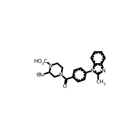 Cc1nc2ccccc2n1-c1ccc(C(=O)N2CCN(C(=O)O)C(C(C)(C)C)C2)cc1